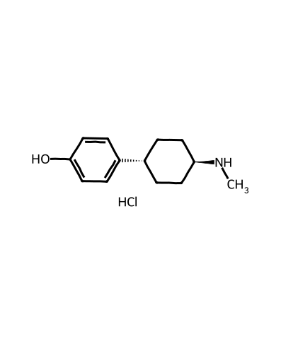 CN[C@H]1CC[C@H](c2ccc(O)cc2)CC1.Cl